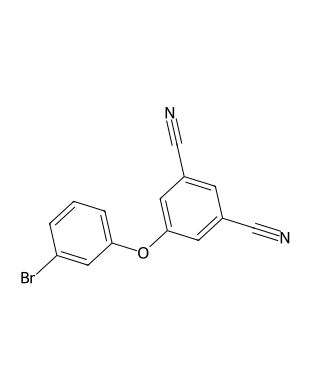 N#Cc1cc(C#N)cc(Oc2cccc(Br)c2)c1